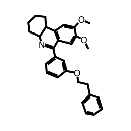 COc1cc2c(cc1OC)C1CCCCC1N=C2c1cccc(OCCc2ccccc2)c1